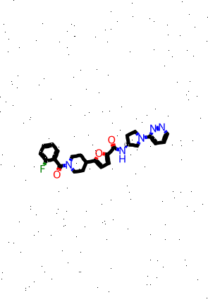 O=C(N[C@H]1CCN(c2cccnn2)C1)c1ccc(C2CCN(C(=O)c3ccccc3F)CC2)o1